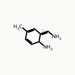 CC1=C/C(=C/N)C(N)C=C1